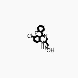 ON=CC1CN=C(c2ccccc2F)c2cc(Cl)ccc2N1